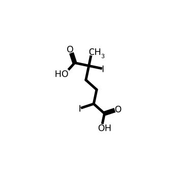 CC(I)(CCC(I)C(=O)O)C(=O)O